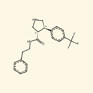 O=C(NCCc1ccccc1)[C@@H]1CNC[C@H]1c1ccc(C(F)(F)F)cc1